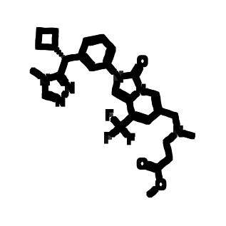 COC(=O)CCN(C)Cc1cc(C(F)(F)F)c2cn(-c3cccc([C@H](c4nncn4C)C4CCC4)c3)c(=O)n2c1